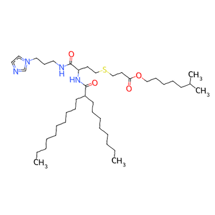 CCCCCCCCCCC(CCCCCCCC)C(=O)NC(CCSCCC(=O)OCCCCCC(C)C)C(=O)NCCCn1ccnc1